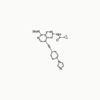 CNc1ncc(C#Cc2ccc(-n3ccnc3)cc2)c2cc(NC(=O)C3CC3)ncc12